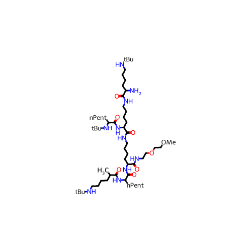 CCCCCC(NC(=O)C(C)CCCCNC(C)(C)C)C(=O)NC(CCCCNC(=O)C(CCCCNC(=O)C(N)CCCCNC(C)(C)C)NC(=O)C(CCCCC)NC(C)(C)C)C(=O)NCCOCCOC